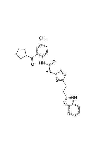 Cc1ccc(NC(=O)Nc2ncc(CCc3nc4ncccc4[nH]3)s2)c(C(=O)C2CCCC2)c1